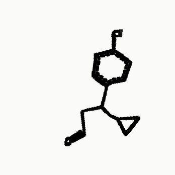 O=CCC(c1ccc(Cl)cc1)C1CC1